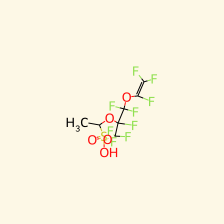 CC(OC(F)(C(F)(F)F)C(F)(F)OC(F)=C(F)F)S(=O)(=O)O